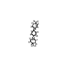 CC1(C)C=CN(c2ccc(N3C=CC(C)(C)CC3)cc2)CC1